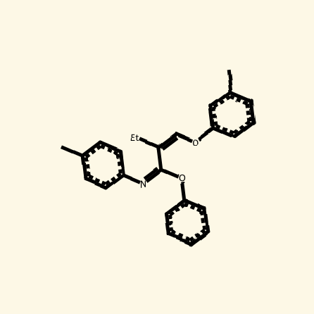 CCC(=COc1cccc(C)c1)C(=Nc1ccc(C)cc1)Oc1ccccc1